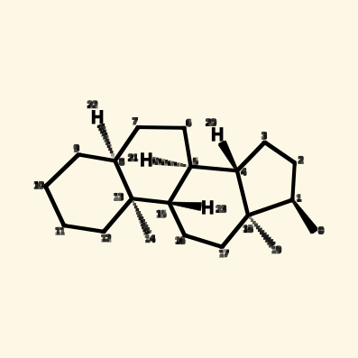 C[C@@H]1CC[C@H]2[C@@H]3CC[C@@H]4CCCC[C@]4(C)[C@H]3CC[C@]12C